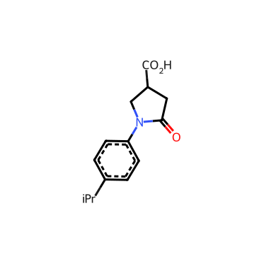 CC(C)c1ccc(N2CC(C(=O)O)CC2=O)cc1